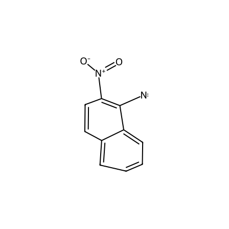 [N]c1c([N+](=O)[O-])ccc2ccccc12